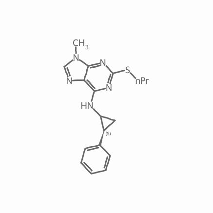 CCCSc1nc(NC2C[C@H]2c2ccccc2)c2ncn(C)c2n1